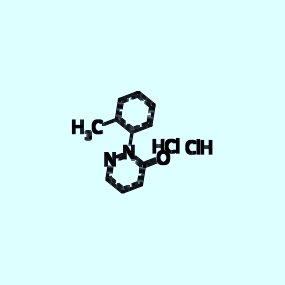 Cc1ccccc1-n1ncccc1=O.Cl.Cl